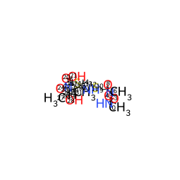 CNC(=O)ON(C)C(=O)CCSC[C@@H]1C[C@H](SC2=C(C(=O)O)N3C(=O)[C@H]([C@@H](C)O)[C@H]3[C@H]2C)CN1